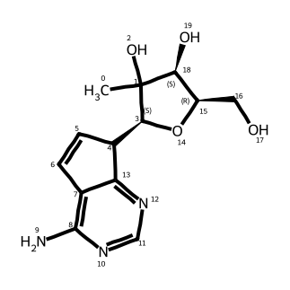 CC1(O)[C@H](C2C=Cc3c(N)ncnc32)O[C@H](CO)[C@@H]1O